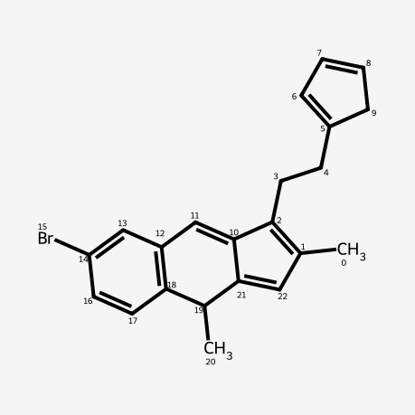 CC1=C(CCC2=CC=CC2)C2=Cc3cc(Br)ccc3C(C)C2=C1